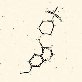 COc1ccc2c(O[C@H]3CC[C@@H](S(C)(=N)=O)CC3)ncnc2c1